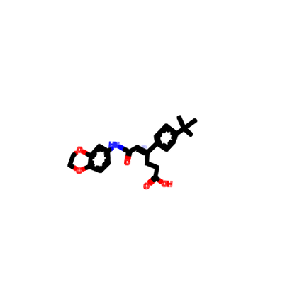 CC(C)(C)c1ccc(/C(=C/C(=O)Nc2ccc3c(c2)OCCO3)CCC(=O)O)cc1